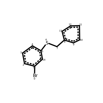 Brc1cc[c]c(SCc2ccccc2)c1